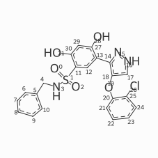 O=S(=O)(NCc1ccccc1)c1cc(-c2n[nH]cc2Oc2ccccc2Cl)c(O)cc1O